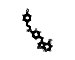 Clc1ccc(CCNc2ccc(Cc3c[nH]c4nccc(Cl)c34)cn2)cc1